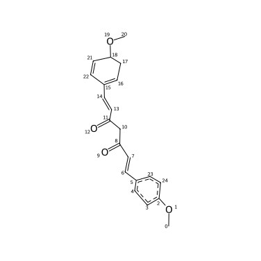 COc1ccc(/C=C/C(=O)CC(=O)/C=C/C2=CCC(OC)C=C2)cc1